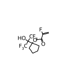 C=C(F)C(=O)OC1(C(O)(C(F)(F)F)C(F)(F)F)CCCC1